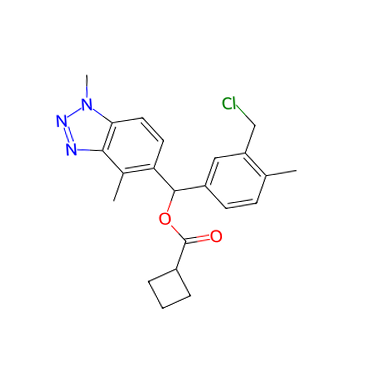 Cc1ccc(C(OC(=O)C2CCC2)c2ccc3c(nnn3C)c2C)cc1CCl